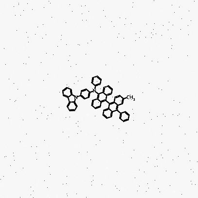 Cc1ccc2c(-c3c4ccccc4c(N(c4ccccc4)c4ccc(-n5c6ccccc6c6ccccc65)cc4)c4ccccc34)c3ccccc3c(-c3ccccc3)c2c1